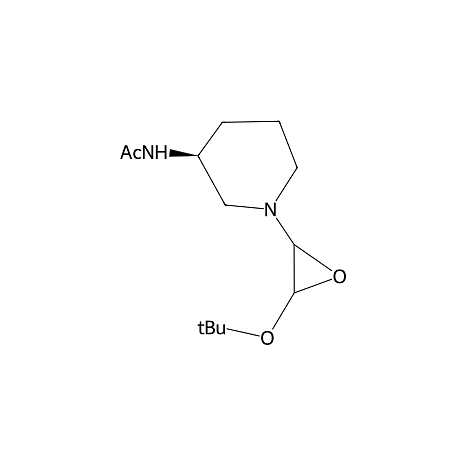 CC(=O)N[C@H]1CCCN(C2OC2OC(C)(C)C)C1